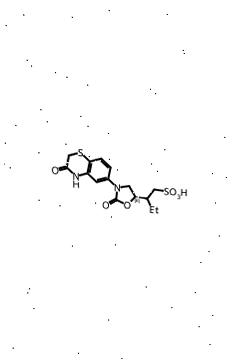 [CH2]CC(CS(=O)(=O)O)[C@@H]1CN(c2ccc3c(c2)NC(=O)CS3)C(=O)O1